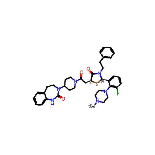 CC(C)(C)N1CCN(c2c(F)cccc2[C@H]2S[C@@H](CC(=O)N3CCC(N4CCc5ccccc5NC4=O)CC3)C(=O)N2CCc2ccccc2)CC1